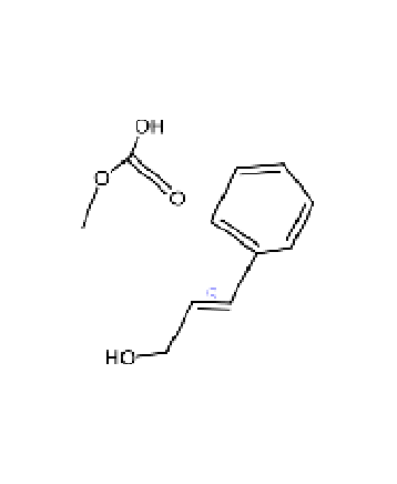 COC(=O)O.OC/C=C/c1ccccc1